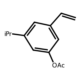 C=Cc1cc(OC(C)=O)cc(C(C)C)c1